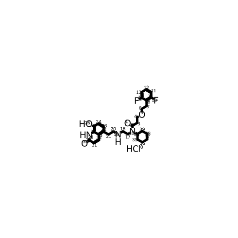 Cl.O=C(CCOCCc1c(F)cccc1F)N(CCNCCc1ccc(O)c2[nH]c(=O)ccc12)C1CCCCC1